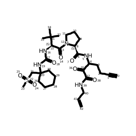 C#CCCC(NC(=O)[C@@H]1CCCN1C(=O)[C@@H](NC(=O)NC1(CS(C)(=O)=O)CCCCC1)C(C)(C)C)C(=O)C(=O)NCC=C